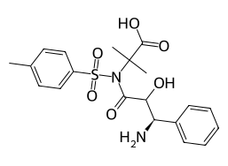 Cc1ccc(S(=O)(=O)N(C(=O)C(O)[C@H](N)c2ccccc2)C(C)(C)C(=O)O)cc1